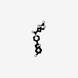 O=C1NC2(CO1)CC(C(=O)N1CCC(c3cc4cc(Cl)ccc4o3)CC1)C2